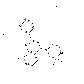 CC1(C)CN(c2cc(-c3ccncc3)nc3cnccc23)CCN1